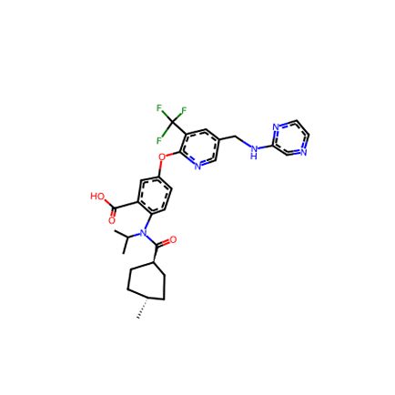 CC(C)N(c1ccc(Oc2ncc(CNc3cnccn3)cc2C(F)(F)F)cc1C(=O)O)C(=O)[C@H]1CC[C@H](C)CC1